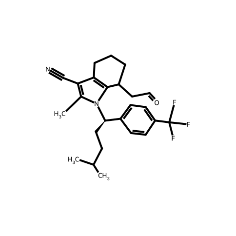 Cc1c(C#N)c2c(n1[C@H](CCC(C)C)c1ccc(C(F)(F)F)cc1)C(CC=O)CCC2